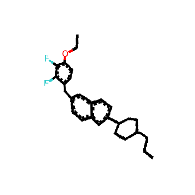 CCCC1CCC(c2ccc3cc(Cc4ccc(OCC)c(F)c4F)ccc3c2)CC1